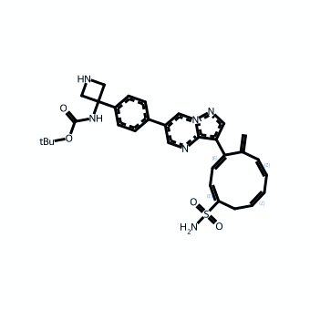 C=C1/C=C\C=C/C/C(S(N)(=O)=O)=C\C=C/1c1cnn2cc(-c3ccc(C4(NC(=O)OC(C)(C)C)CNC4)cc3)cnc12